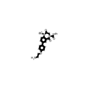 CCCC(=O)N1CC(=O)N(C(C)CC)c2ccc(-c3ccc(OCCN)cc3)cc2C1=O